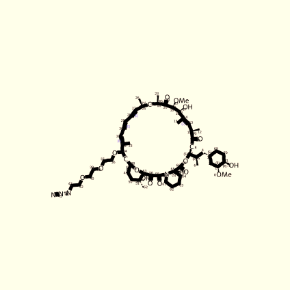 CO[C@@H]1C[C@H](C[C@@H](C)[C@@H]2CC(=O)[C@H](C)/C=C(\C)[C@@H](O)[C@@H](OC)C(=O)[C@H](C)C[C@H](C)/C=C/C=C/C=C(\C)C(OCCOCCOCCN=[N+]=[N-])C[C@@H]3CC[C@@H](C)[C@@](O)(O3)C(=O)C(=O)N3CCCC[C@H]3C(=O)O2)CC[C@H]1O